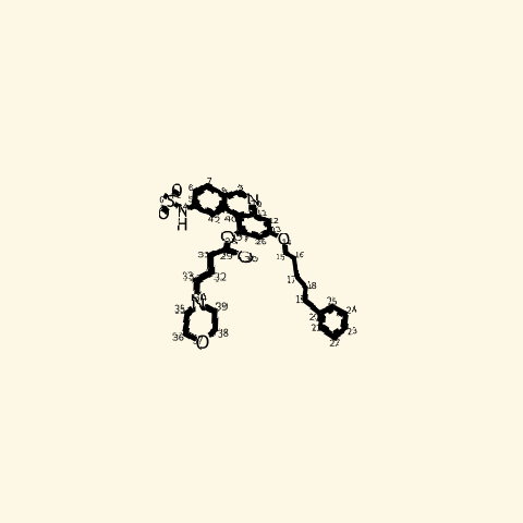 CS(=O)(=O)Nc1ccc2cnc3cc(OCCCCCc4ccccc4)cc(OC(=O)CCCN4CCOCC4)c3c2c1